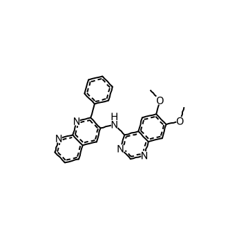 COc1cc2ncnc(Nc3cc4cccnc4nc3-c3ccccc3)c2cc1OC